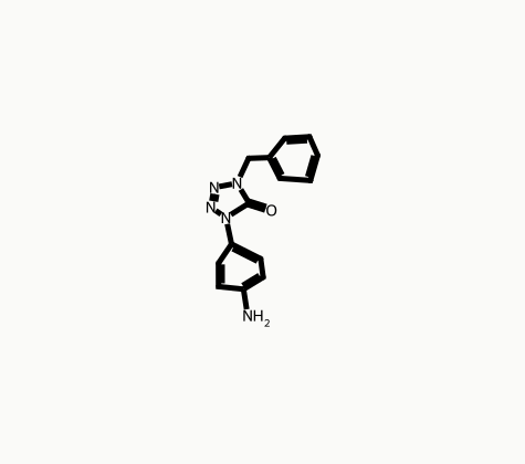 Nc1ccc(-n2nnn(Cc3ccccc3)c2=O)cc1